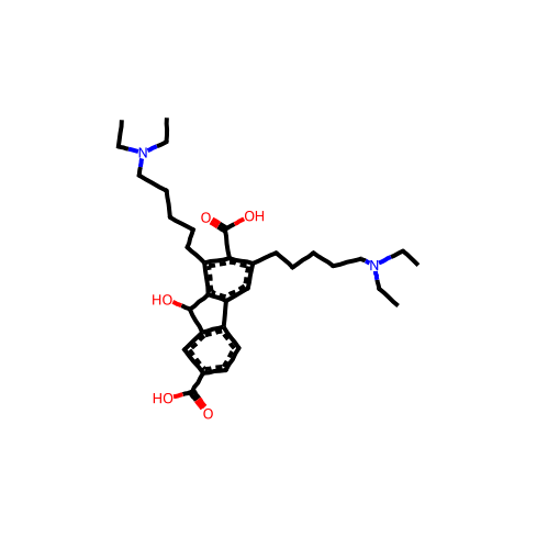 CCN(CC)CCCCCc1cc2c(c(CCCCCN(CC)CC)c1C(=O)O)C(O)c1cc(C(=O)O)ccc1-2